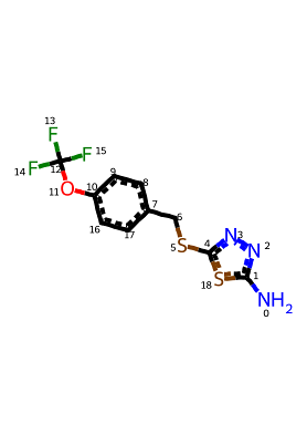 Nc1nnc(SCc2ccc(OC(F)(F)F)cc2)s1